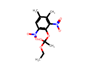 CCOC(C)(O)Oc1c([N+](=O)[O-])cc(C)c(C)c1[N+](=O)[O-]